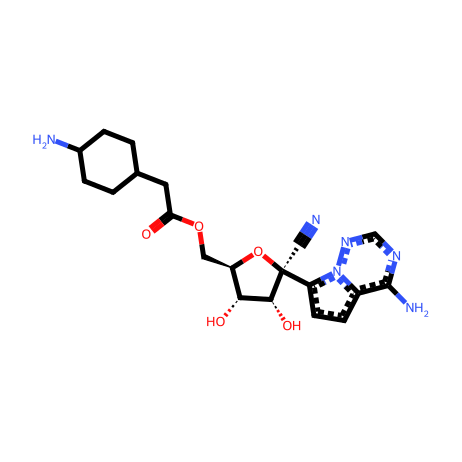 N#C[C@@]1(c2ccc3c(N)ncnn23)O[C@H](COC(=O)CC2CCC(N)CC2)[C@@H](O)[C@H]1O